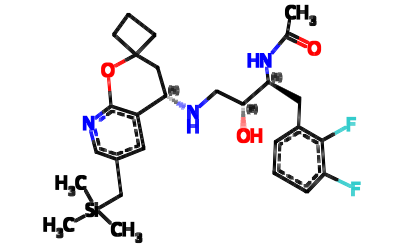 CC(=O)N[C@@H](Cc1cccc(F)c1F)[C@H](O)CN[C@H]1CC2(CCC2)Oc2ncc(C[Si](C)(C)C)cc21